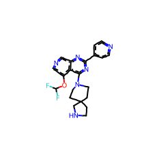 FC(F)Oc1cncc2nc(-c3ccncc3)nc(N3CCC4(CCNC4)CC3)c12